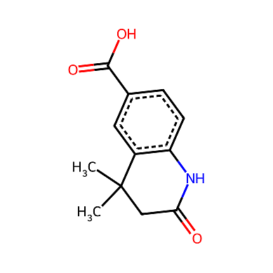 CC1(C)CC(=O)Nc2ccc(C(=O)O)cc21